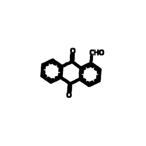 O=Cc1cccc2c1C(=O)c1ccccc1C2=O